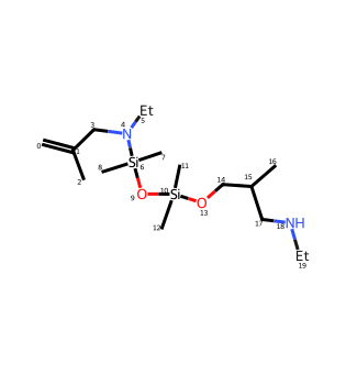 C=C(C)CN(CC)[Si](C)(C)O[Si](C)(C)OCC(C)CNCC